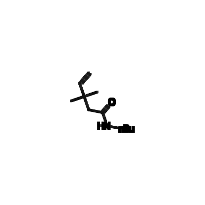 C=CC(C)(C)CC(=O)NCCCC